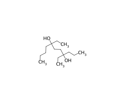 CCCCC(O)(CC)CCC(O)(CC)CCC